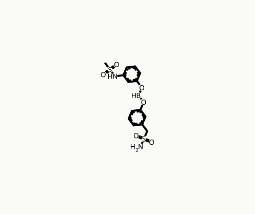 CS(=O)(=O)Nc1cccc(OBOc2cccc(CS(N)(=O)=O)c2)c1